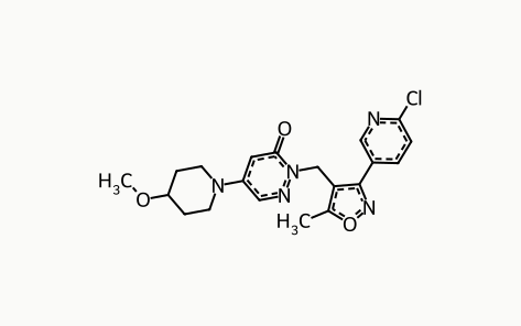 COC1CCN(c2cnn(Cc3c(-c4ccc(Cl)nc4)noc3C)c(=O)c2)CC1